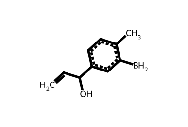 Bc1cc(C(O)C=C)ccc1C